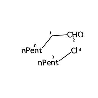 CCCCCCC=O.CCCCCCl